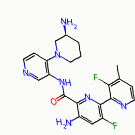 Cc1ccnc(-c2nc(C(=O)Nc3cnccc3N3CCC[C@H](N)C3)c(N)cc2F)c1F